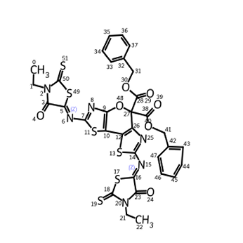 CCN1C(=O)/C(=N/c2nc3c(s2)-c2sc(/N=C4\SC(=S)N(CC)C4=O)nc2C(C(=O)OCc2ccccc2)(C(=O)OCc2ccccc2)O3)SC1=S